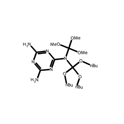 CCCCOC(OCCCC)(OCCCC)N(c1nc(N)nc(N)n1)C(OC)(OC)OC